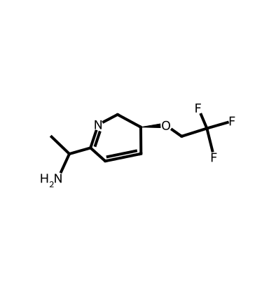 CC(N)C1=NC[C@@H](OCC(F)(F)F)C=C1